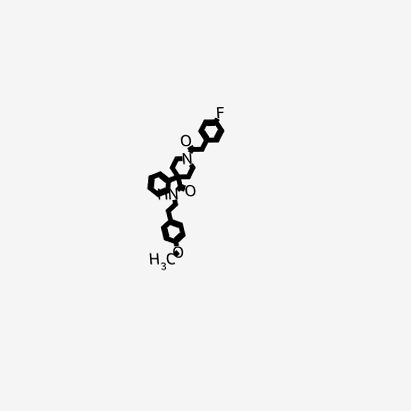 COc1ccc(CCNC(=O)C2(c3ccccc3)CCN(C(=O)Cc3ccc(F)cc3)CC2)cc1